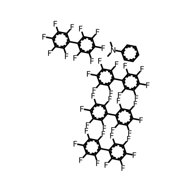 CN(C)c1ccccc1.Fc1c(F)c(F)c(-c2c(F)c(F)c(F)c(F)c2F)c(F)c1F.Fc1c(F)c(F)c(-c2c(F)c(F)c(F)c(F)c2F)c(F)c1F.Fc1c(F)c(F)c(-c2c(F)c(F)c(F)c(F)c2F)c(F)c1F.Fc1c(F)c(F)c(-c2c(F)c(F)c(F)c(F)c2F)c(F)c1F